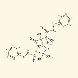 CC1(C)S[C@H]2N(C(=O)C2(Br)C(O)C(=O)OCc2ccccc2)[C@H]1C(=O)OCc1ccccc1